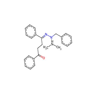 C[SiH](C)N(Cc1ccccc1)N=C(CCC(=O)c1ccccc1)c1ccccc1